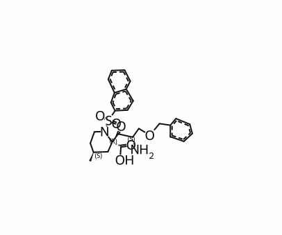 C[C@H]1CCN(S(=O)(=O)c2ccc3ccccc3c2)[C@@](C(=O)O)(C(=O)[C@@H](N)COCc2ccccc2)C1